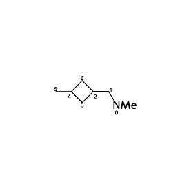 CNCC1CC(C)C1